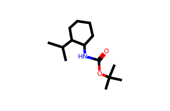 CC(C)C1CCCCC1NC(=O)OC(C)(C)C